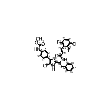 COC(=O)Nc1ccc(-c2nc([C@H](Cc3ccccc3)NC(=O)C=Cc3c(F)ccc(Cl)c3F)[nH]c2Cl)cc1